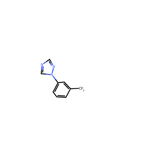 FC(F)(F)c1cccc(-n2cncn2)c1